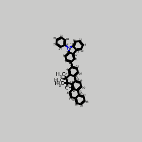 CC1(C)c2cc(-c3ccc4c(c3)c3ccccc3n4-c3ccccc3)ccc2-c2ccc3c(ccc4ccccc43)c2C1(C)C